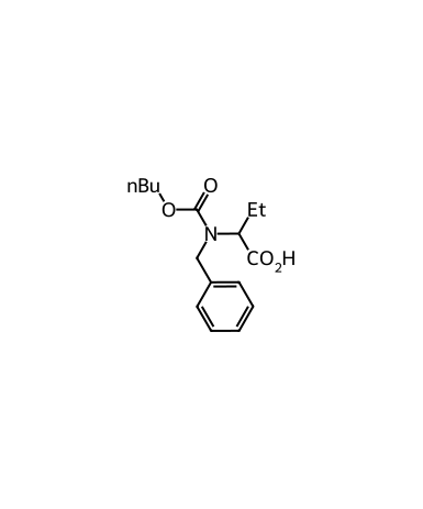 CCCCOC(=O)N(Cc1ccccc1)C(CC)C(=O)O